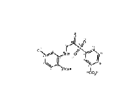 COc1ccc(Cl)cc1NCC(=O)S(=O)(=O)c1cc(C(=O)O)ccn1